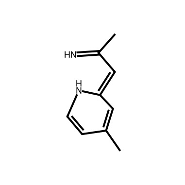 CC(=N)/C=C1/C=C(C)C=CN1